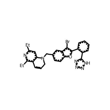 CCc1cc2c(c(CC)n1)C=CCN2Cc1ccc2oc(-c3ccccc3-c3nnn[nH]3)c(Br)c2c1